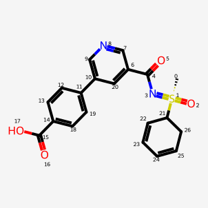 C[S@@](=O)(=NC(=O)c1cncc(-c2ccc(C(=O)O)cc2)c1)C1C=CC=CC1